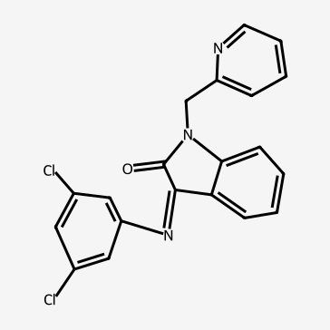 O=C1C(=Nc2cc(Cl)cc(Cl)c2)c2ccccc2N1Cc1ccccn1